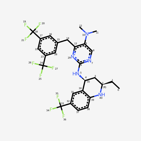 CC[C@@H]1C[C@H](Nc2ncc(N(C)C)c(Cc3cc(C(F)(F)F)cc(C(F)(F)F)c3)n2)c2cc(C(F)(F)F)ccc2N1